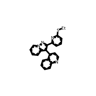 CCSc1cccc(-c2nn3ccccc3c2-c2ccnc3ccccc23)n1